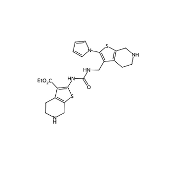 CCOC(=O)c1c(NC(=O)NCc2c(-n3cccc3)sc3c2CCNC3)sc2c1CCNC2